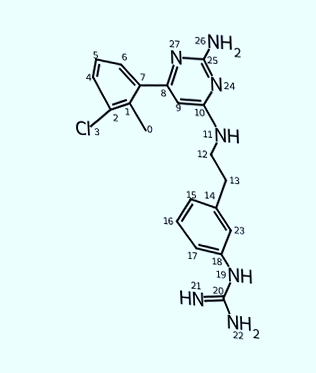 Cc1c(Cl)cccc1-c1cc(NCCc2cccc(NC(=N)N)c2)nc(N)n1